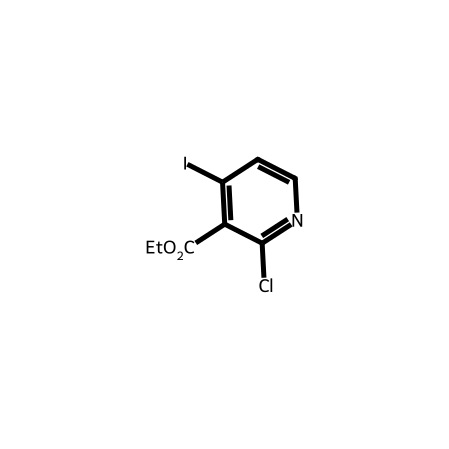 CCOC(=O)c1c(I)ccnc1Cl